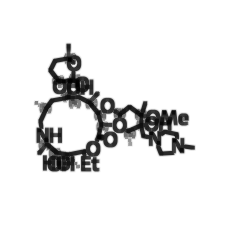 CCC1OC(=O)[C@H](C)[C@@H](O[C@H]2C[C@@](C)(OC)[C@](O)(CN3CCN(C)CC3)[C@H](C)O2)[C@H](C)[C@@H](O[C@@H]2O[C@H](C)CC[C@H]2O)[C@](C)(O)C[C@@H](C)CN[C@H](C)[C@@H](O)[C@]1(C)O